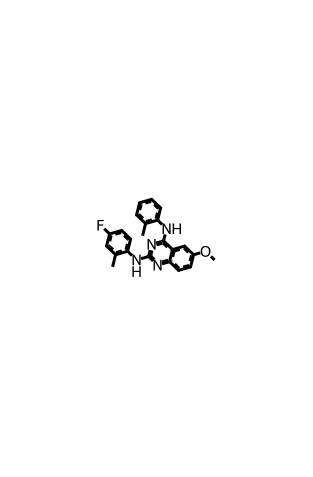 COc1ccc2nc(Nc3ccc(F)cc3C)nc(Nc3ccccc3C)c2c1